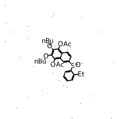 CCCCOc1c(OCCCC)c(OC(C)=O)c2cc([S+]([O-])c3ccccc3CC)ccc2c1OC(C)=O